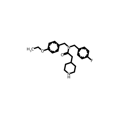 CCOc1ccc(CN(Cc2ccc(F)cc2)C(=O)CC2CCNCC2)cc1